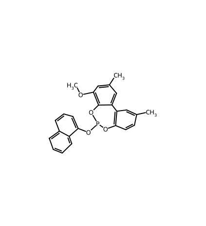 COc1cc(C)cc2c1op(Oc1cccc3ccccc13)oc1ccc(C)cc12